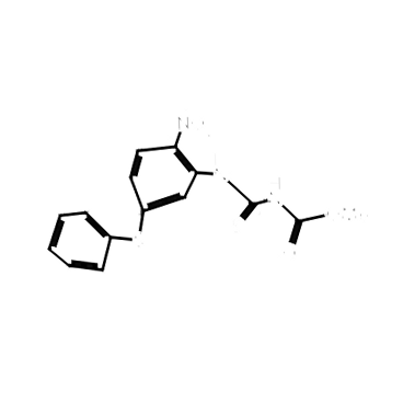 COC(=O)NC(=S)Nc1cc(Sc2ccccc2)ccc1[N+](=O)[O-]